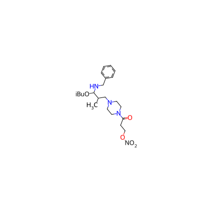 CC(C)COC(NCc1ccccc1)C(C)CN1CCN(C(=O)CCO[N+](=O)[O-])CC1